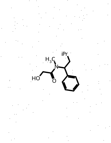 CC(C)CC(c1ccccc1)N(C)C(=O)CO